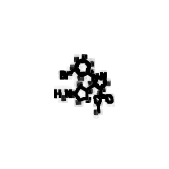 COC(=O)c1cnn(-c2cccc(Br)c2)c1C1CCC(N)C1